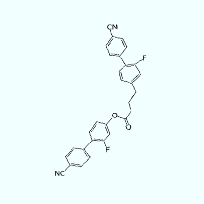 N#Cc1ccc(-c2ccc(CCCC(=O)Oc3ccc(-c4ccc(C#N)cc4)c(F)c3)cc2F)cc1